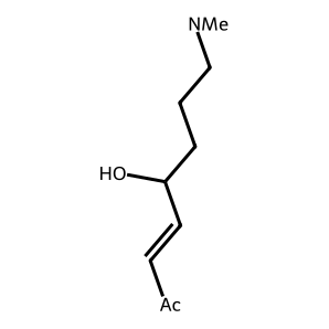 CNCCCC(O)/C=C/C(C)=O